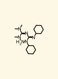 CN(C)C(=N/C(=N\C1CCCCC1)N(N)C1CCCCC1)N(C)C